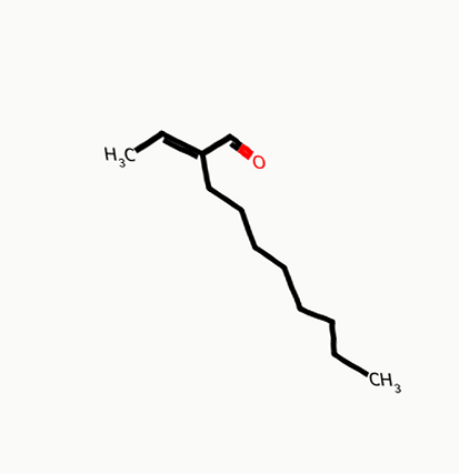 C/C=C(/C=O)CCCCCCCC